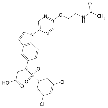 CC(=O)NCCOc1cnc(-n2ccc3cc(N(CC(=O)O)S(=O)(=O)C4C=C(Cl)C=C(Cl)C4)ccc32)cn1